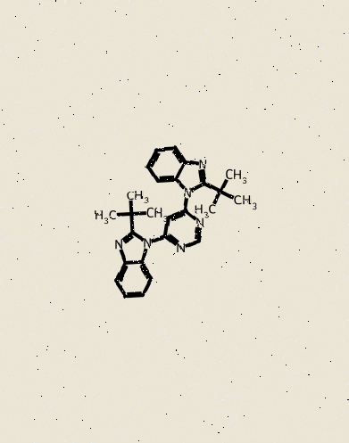 CC(C)(C)c1nc2ccccc2n1-c1cc(-n2c(C(C)(C)C)nc3ccccc32)ncn1